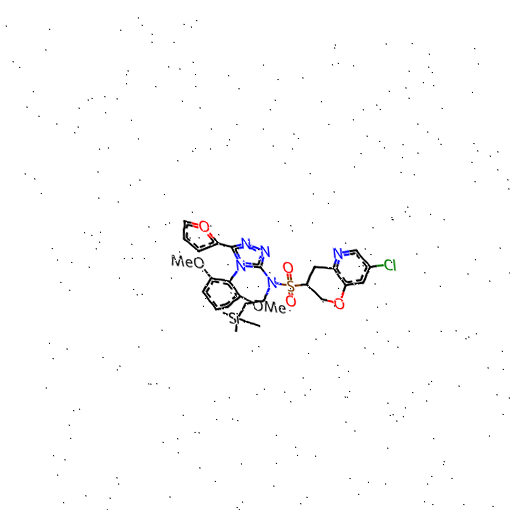 COc1cccc(OC)c1-n1c(-c2ccco2)nnc1N(CC[Si](C)(C)C)S(=O)(=O)C1COc2cc(Cl)cnc2C1